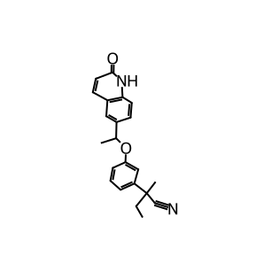 CCC(C)(C#N)c1cccc(OC(C)c2ccc3[nH]c(=O)ccc3c2)c1